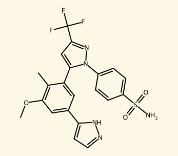 COc1cc(-c2ccn[nH]2)cc(-c2cc(C(F)(F)F)nn2-c2ccc(S(N)(=O)=O)cc2)c1C